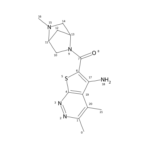 Cc1nnc2sc(C(=O)N3CC4CC3CN4C)c(N)c2c1C